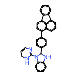 C1=CN=C(N2c3ccccc3NC2c2ccc(-c3ccc4c5c(cccc35)-c3ccccc3-4)cc2)NC1